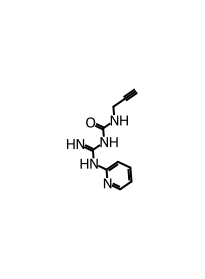 C#CCNC(=O)NC(=N)Nc1ccccn1